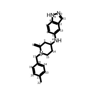 C=C1CC(Nc2ccc3[nH]ncc3c2)CCN1Cc1ccc(C)cc1